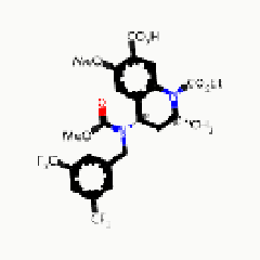 CCOC(=O)N1c2cc(C(=O)O)c(OC)cc2[C@@H](N(Cc2cc(C(F)(F)F)cc(C(F)(F)F)c2)C(=O)OC)C[C@H]1C